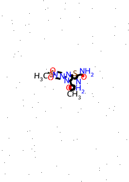 CCS(=O)(=O)N1CCN(c2nc(-c3ccc(C)o3)c3c(N)c(C(N)=O)sc3n2)CC1